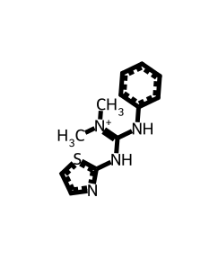 C[N+](C)=C(Nc1ccccc1)Nc1nccs1